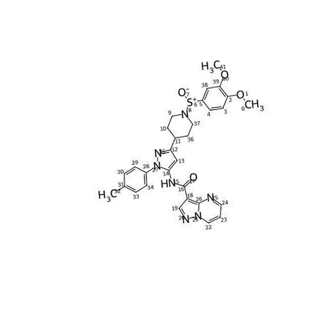 COc1ccc([S+]([O-])N2CCC(c3cc(NC(=O)c4cnn5cccnc45)n(-c4ccc(C)cc4)n3)CC2)cc1OC